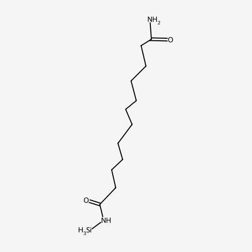 NC(=O)CCCCCCCCCCC(=O)N[SiH3]